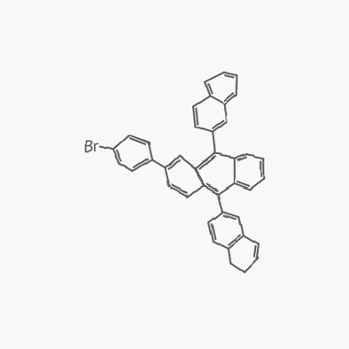 Brc1ccc(-c2ccc3c(-c4ccc5c(c4)C=CCC5)c4ccccc4c(-c4ccc5ccccc5c4)c3c2)cc1